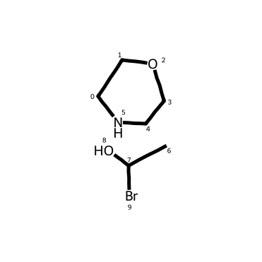 C1COCCN1.CC(O)Br